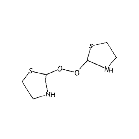 C1CSC(OOC2NCCS2)N1